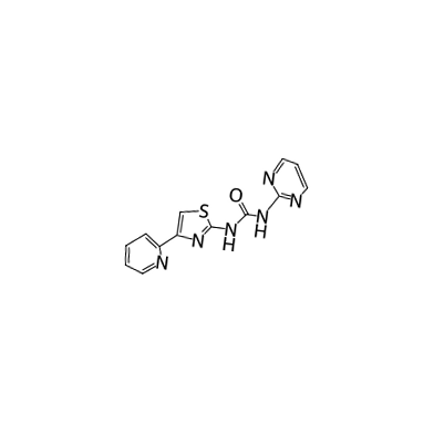 O=C(Nc1ncccn1)Nc1nc(-c2ccccn2)cs1